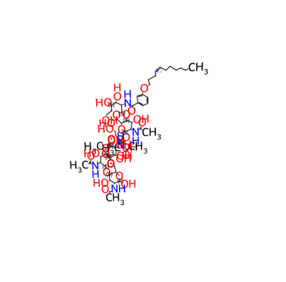 CCCCCC/C=C\CCCOc1cccc(C(=O)NC2C(O)[C@H](O)C(CO)O[C@H]2O[C@@H]2C(CO)O[C@@H](O[C@@H](C(C)O)C(CO)O[C@H](CNC(C)=O)O[C@@H]3C(CO)O[C@@H](O[C@@H]4C(CO[C@@H]5OC(C)[C@@H](O)C(O)C5O)O[C@@H](O)C(NC(C)=O)C4O)C(NC(C)=O)C3O)C(NC(C)=O)C2O)c1